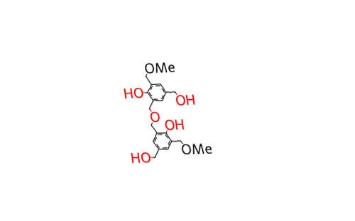 COCc1cc(CO)cc(COCc2cc(CO)cc(COC)c2O)c1O